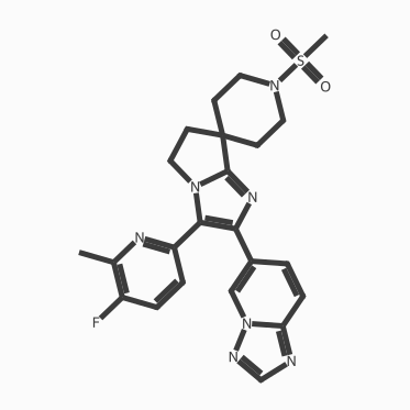 Cc1nc(-c2c(-c3ccc4ncnn4c3)nc3n2CCC32CCN(S(C)(=O)=O)CC2)ccc1F